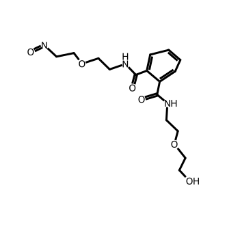 O=NCCOCCNC(=O)c1ccccc1C(=O)NCCOCCO